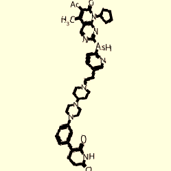 CC(=O)c1c(C)c2cnc([AsH]c3ccc(CCN4CCC(N5CCN(c6cccc(C7CCC(=O)NC7=O)c6)CC5)CC4)cn3)nc2n(C2CCCC2)c1=O